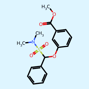 COC(=O)c1cccc(OC(c2ccccc2)S(=O)(=O)N(C)C)c1